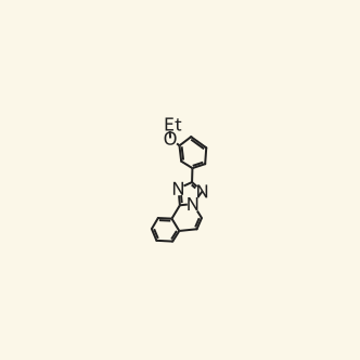 CCOc1cccc(-c2nc3c4ccccc4ccn3n2)c1